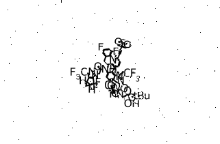 CC(C)(C)OC(=O)[C@H](CO)NC(=O)N(c1nn(CC(F)(F)F)c2c(-c3ccc(C#CC(C)(C)S(C)(=O)=O)nc3[C@H](Cc3cc(F)cc(F)c3)NC(=O)Cn3nc(C(F)(F)F)c4c3C(F)(F)[C@@H]3C[C@H]43)ccc(Cl)c12)S(C)(=O)=O